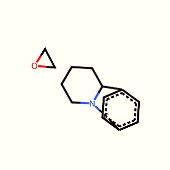 C1CO1.c1cc2ccc1CN1CCCCC21